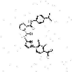 Cc1c(C(=O)O)ccc(-n2ccc(NC(=O)[C@@H]3CCCN3C(=O)Nc3ccc(C(C)C)cc3)n2)c1F